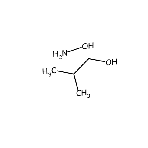 CC(C)CO.NO